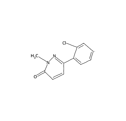 Cn1nc(-c2cc[c]cc2Cl)ccc1=O